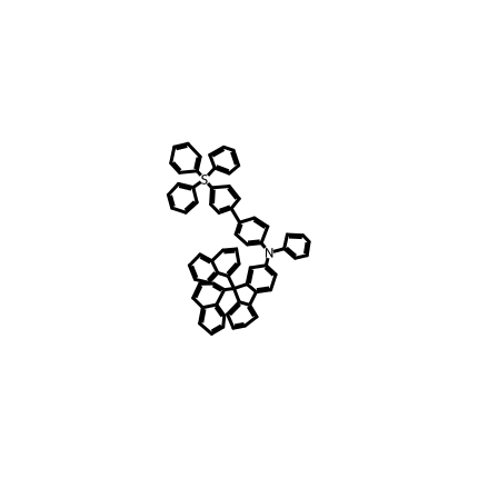 c1ccc(N(c2ccc(-c3ccc(S(c4ccccc4)(c4ccccc4)c4ccccc4)cc3)cc2)c2ccc3c(c2)C(c2cccc4ccccc24)(c2cccc4ccccc24)c2ccccc2-3)cc1